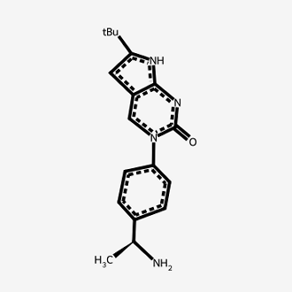 C[C@H](N)c1ccc(-n2cc3cc(C(C)(C)C)[nH]c3nc2=O)cc1